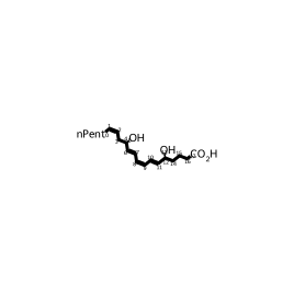 CCCCC/C=C\C[C@@H](O)/C=C/C=C\C=C\[C@@H](O)CCCC(=O)O